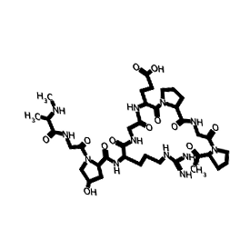 CNC(C)C(=O)NCC(=O)N1CC(O)CC1C(=O)NC(CCCNC(=N)N)C(=O)NCC(=O)NC(CCC(=O)O)C(=O)N1CCCC1C(=O)NCC(=O)N1CCCC1C(C)=O